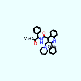 COC(=O)C(NC(=O)c1c(C[N+]2(OC)CCCCC2)c(-c2ccccc2)nc2ccccc12)c1ccccc1